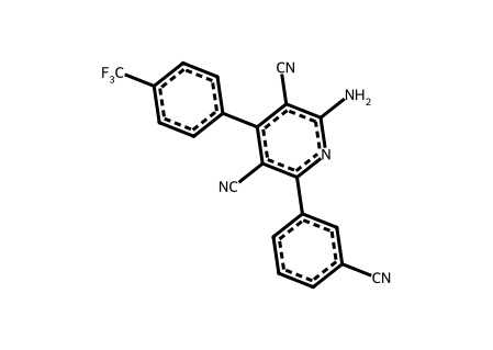 N#Cc1cccc(-c2nc(N)c(C#N)c(-c3ccc(C(F)(F)F)cc3)c2C#N)c1